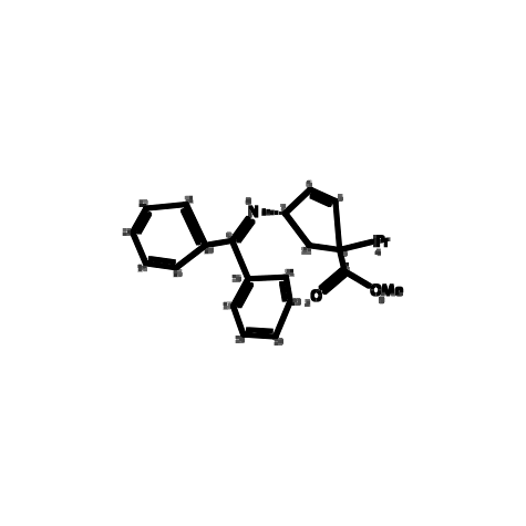 COC(=O)C1(C(C)C)C=C[C@@H](N=C(c2ccccc2)c2ccccc2)C1